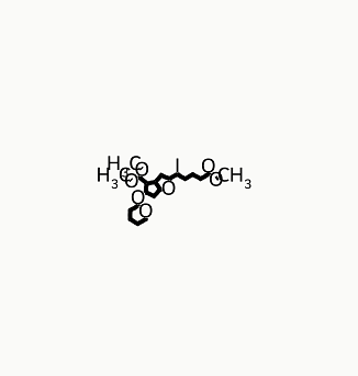 COC(=O)CCCC(I)C1CC2C(CC(OC3CCCCO3)C2C(OC)OC)O1